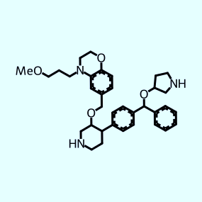 COCCCN1CCOc2ccc(COC3CNCCC3c3ccc(C(OC4CCNC4)c4ccccc4)cc3)cc21